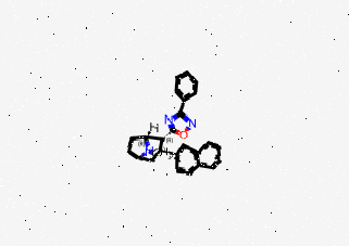 CN1C2CC[C@@H]1[C@H](c1nc(-c3ccccc3)no1)[C@@H](c1ccc3ccccc3c1)C2